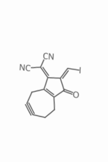 N#CC(C#N)=C1C2=C(CCC#CC2)C(=O)/C1=C\I